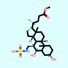 COC(=O)CC[C@@H](C)[C@H]1CC[C@H]2C3[C@H](CNS(=O)(=O)O)[C@H](O)C4C[C@H](O)CCC4(C)[C@H]3CCC12C